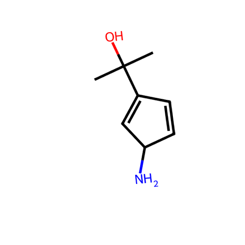 CC(C)(O)C1=CC(N)C=C1